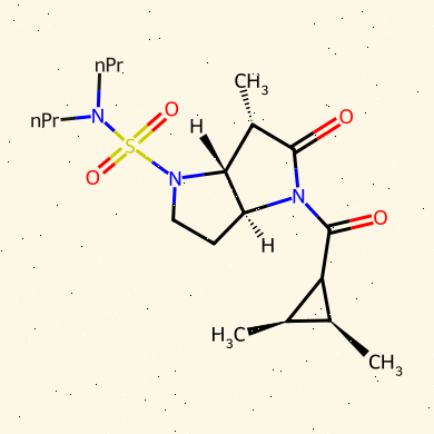 CCCN(CCC)S(=O)(=O)N1CC[C@H]2[C@H]1[C@H](C)C(=O)N2C(=O)C1[C@@H](C)[C@H]1C